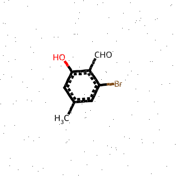 Cc1cc(O)c(C=O)c(Br)c1